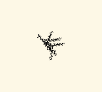 CC/C=C/CC1C(=O)CCC1CC(=O)OC(CC(CCCCCCCC)OC(=O)C(CCCCCC)CCCCCCCC)C1CC1CCCCCCCC